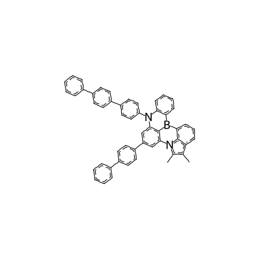 Cc1c(C)n2c3c(cccc13)B1c3ccccc3N(c3ccc(-c4ccc(-c5ccccc5)cc4)cc3)c3cc(-c4ccc(-c5ccccc5)cc4)cc-2c31